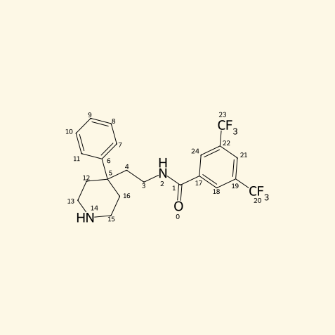 O=C(NCCC1(c2ccccc2)CCNCC1)c1cc(C(F)(F)F)cc(C(F)(F)F)c1